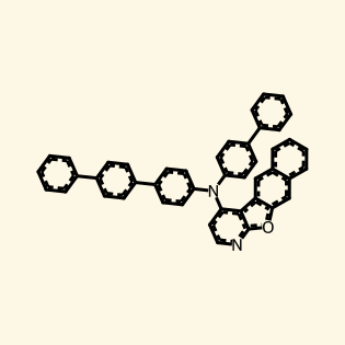 c1ccc(-c2ccc(-c3ccc(N(c4ccc(-c5ccccc5)cc4)c4ccnc5oc6cc7ccccc7cc6c45)cc3)cc2)cc1